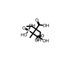 CCC(CC(=O)O)(C(=O)O)C(C)(C(=O)O)P(=O)(O)O